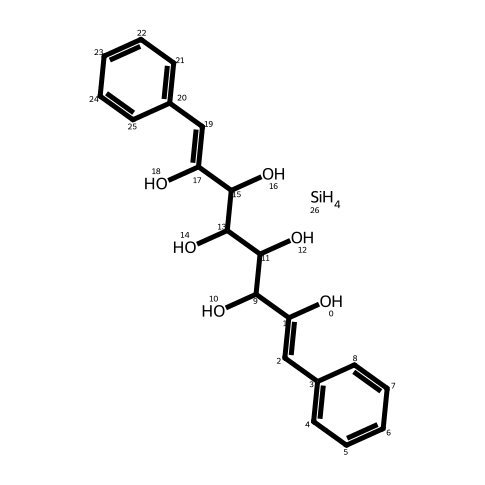 OC(=Cc1ccccc1)C(O)C(O)C(O)C(O)C(O)=Cc1ccccc1.[SiH4]